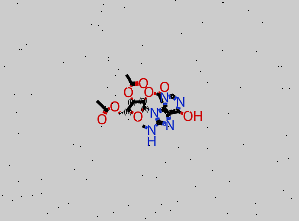 CNc1nc2c(O)ncnc2n1[C@@H]1O[C@H](COC(C)=O)[C@@H](OC(C)=O)[C@H]1OC(C)=O